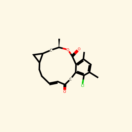 Cc1cc(C)c2c(c1Cl)CC(=O)/C=C/CCC1CC1C[C@@H](C)OC2=O